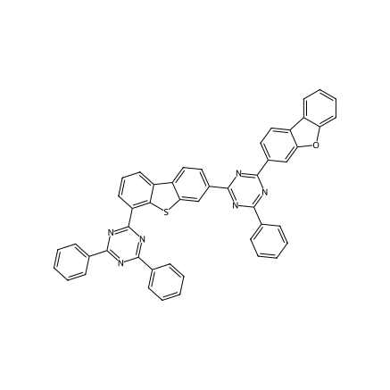 c1ccc(-c2nc(-c3ccc4c(c3)oc3ccccc34)nc(-c3ccc4c(c3)sc3c(-c5nc(-c6ccccc6)nc(-c6ccccc6)n5)cccc34)n2)cc1